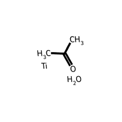 CC(C)=O.O.[Ti]